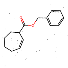 O=C(OCc1ccccc1)C1C=CCCCC1